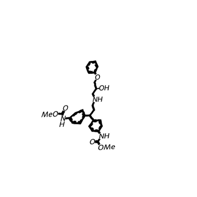 COC(=O)Nc1ccc(C(CCNC[C@H](O)COc2ccccc2)c2ccc(NC(=O)OC)cc2)cc1